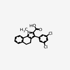 Cn1c(C(=O)O)c(-c2cc(Cl)cc(Cl)c2)c2c1-c1ccccc1CC2